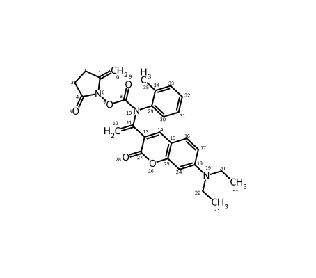 C=C1CCC(=O)N1OC(=O)N(C(=C)c1cc2ccc(N(CC)CC)cc2oc1=O)c1ccccc1C